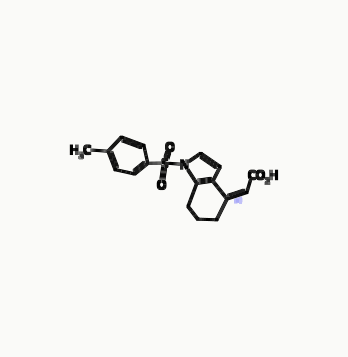 Cc1ccc(S(=O)(=O)n2ccc3c2CCC/C3=C/C(=O)O)cc1